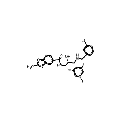 CCc1cccc(CNC[C@@H](O)[C@H](Cc2cc(F)cc(F)c2)NC(=O)c2ccc3oc(C)nc3c2)c1